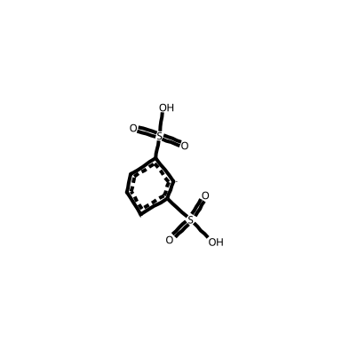 O=S(=O)(O)c1[c]ccc(S(=O)(=O)O)[c]1